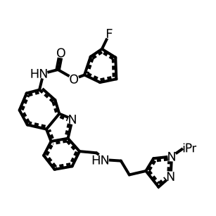 CC(C)n1cc(CCNCc2cccc3c4cccc(NC(=O)Oc5cccc(F)c5)cc-4nc23)cn1